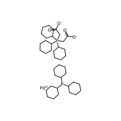 C1CCC(P(C2CCCCC2)C2CCCCC2)CC1.O=C([O-])CP(CC(=O)[O-])(C1CCCCC1)(C1CCCCC1)C1CCCCC1.[Pd+2]